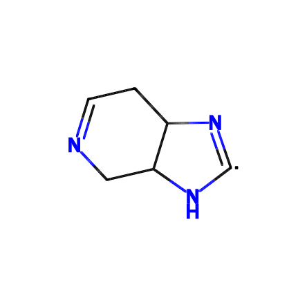 [C]1=NC2CC=NCC2N1